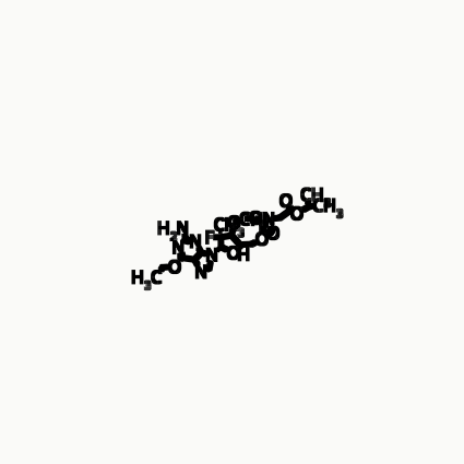 CCOC1=NC(N)=NC2C1N=CN2[C@@H]1O[C@@H]2COP(=O)(NCC(=O)OC(C)C)OCOC2[C@]1(C)F